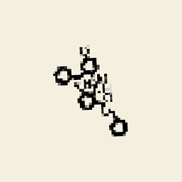 COc1ccc(S(=O)(=O)Nc2c(OC)cccc2C(=O)OCc2ccccc2)c(Cc2ccccc2)c1